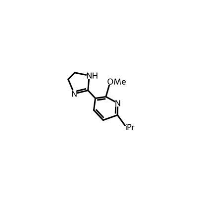 COc1nc(C(C)C)ccc1C1=NCCN1